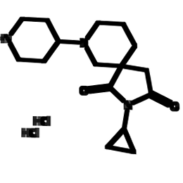 Cl.Cl.O=C1CC2(CCCN(C3CCNCC3)C2)C(=O)N1C1CC1